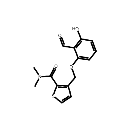 CN(C)C(=O)c1sccc1COc1cccc(O)c1C=O